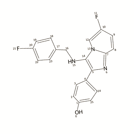 Oc1ccc(-c2nc3ccc(F)cn3c2NCc2ccc(F)cc2)cc1